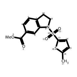 COC(=O)c1ccc2c(c1)N(S(=O)(=O)c1ccc(C)s1)CC2